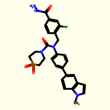 Cn1ccc2cc(-c3ccc(N(Cc4ccc(C(=O)NN)cc4F)C(=O)N4CCS(=O)(=O)CC4)cc3)ccc21